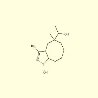 CCC(C)C1=NN(O)C2CCCCC(C)(C(C)O)CC12